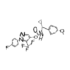 COc1ccc(C(NC(=O)Oc2cnn(-c3ccc(F)cc3)c2C(F)(F)F)C2CC2)cc1